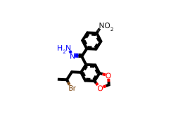 CC(Br)Cc1cc2c(cc1C(=NN)c1ccc([N+](=O)[O-])cc1)OCO2